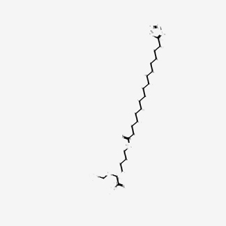 NCN[C@@H](CCCCNC(=O)CCCCCCCCCCCCCCCc1nnn[nH]1)C(N)=O